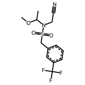 COC(C)N(CC#N)S(=O)(=O)Cc1cccc(C(F)(F)F)c1